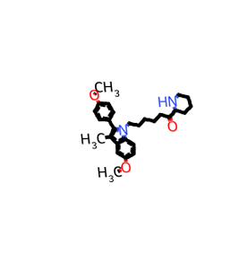 COc1ccc(-c2c(C)c3cc(OC)ccc3n2CCCCCC(=O)C2CCCCN2)cc1